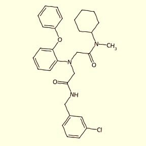 CN(C(=O)CN(CC(=O)NCc1cccc(Cl)c1)c1ccccc1Oc1ccccc1)C1CCCCC1